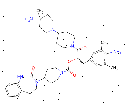 Cc1cc(C[C@@H](OC(=O)N2CCC(N3CCc4ccccc4NC3=O)CC2)C(=O)N2CCC(N3CCC(C)(N)CC3)CC2)cc(C)c1N